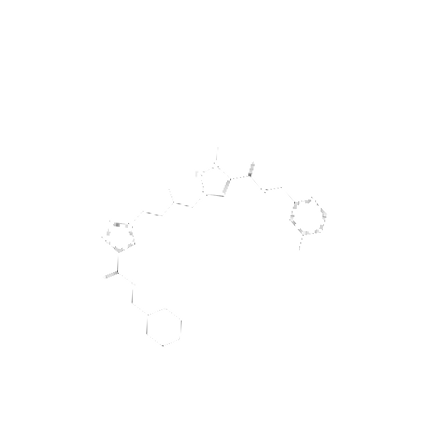 CN1NN(CC(F)CCn2cc(C(=O)NCC3CCCCC3)nn2)C=C1C(=O)NCc1cc(C(F)(F)F)ccn1